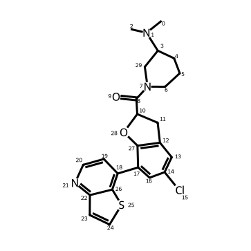 CN(C)C1CCCN(C(=O)C2Cc3cc(Cl)cc(-c4ccnc5ccsc45)c3O2)C1